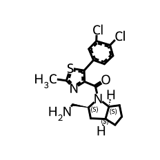 Cc1nc(C(=O)N2[C@H](CN)C[C@@H]3CCC[C@@H]32)c(-c2ccc(Cl)c(Cl)c2)s1